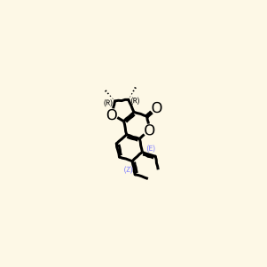 C/C=c1/ccc2c3c(c(=O)oc2/c1=C/C)[C@@H](C)[C@@H](C)O3